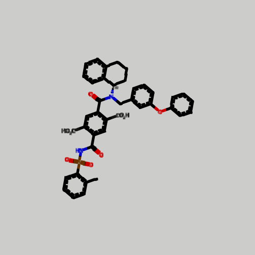 Cc1ccccc1S(=O)(=O)NC(=O)c1cc(C(=O)O)c(C(=O)N(Cc2cccc(Oc3ccccc3)c2)[C@H]2CCCc3ccccc32)cc1C(=O)O